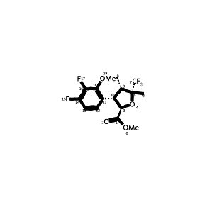 COC(=O)[C@@H]1O[C@@](C)(C(F)(F)F)[C@@H](C)[C@H]1c1ccc(F)c(F)c1OC